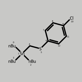 CCC[CH2][Sn]([CH2]CCC)([CH2]CCC)[CH2]Sc1ccc(Cl)cc1